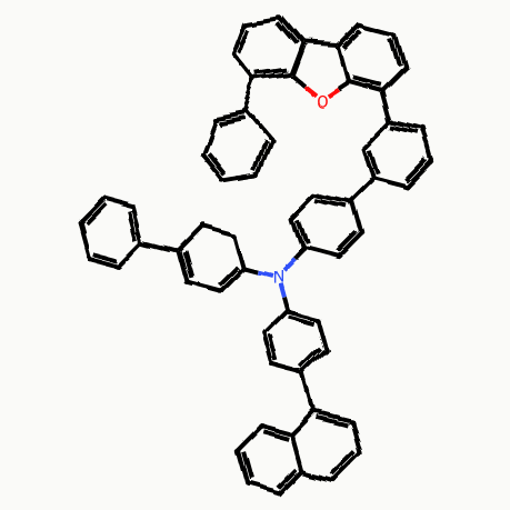 C1=C(c2ccccc2)CCC(N(c2ccc(-c3cccc(-c4cccc5c4oc4c(-c6ccccc6)cccc45)c3)cc2)c2ccc(-c3cccc4ccccc34)cc2)=C1